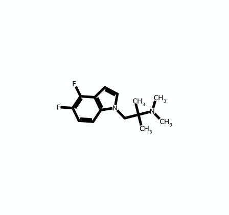 CN(C)C(C)(C)Cn1ccc2c(F)c(F)ccc21